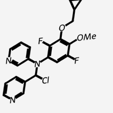 COc1c(F)cc(N(c2cccnc2)C(Cl)c2cccnc2)c(F)c1OCC1CC1